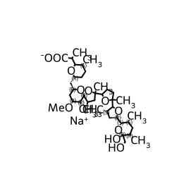 CO[C@@H]1C[C@@H](C[C@H]2CC[C@H](C)C(C(C)C(=O)[O-])O2)O[C@]2(OC(C)(C3CCC(C)(C4O[C@@H]([C@H]5O[C@@](O)(CO)[C@H](C)C[C@@H]5C)C[C@@H]4C)O3)CC2C)[C@@H]1C.[Na+]